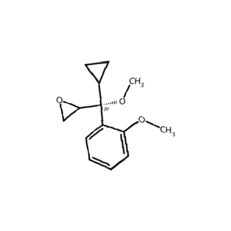 COc1ccccc1[C@](OC)(C1CC1)C1CO1